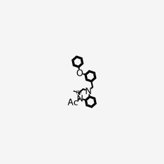 CC(=O)N1c2ccccc2N(Cc2cccc(Oc3ccccc3)c2)C[C@@H]1C